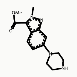 COC(=O)c1c2ccc(N3CCNCC3)cc2nn1C